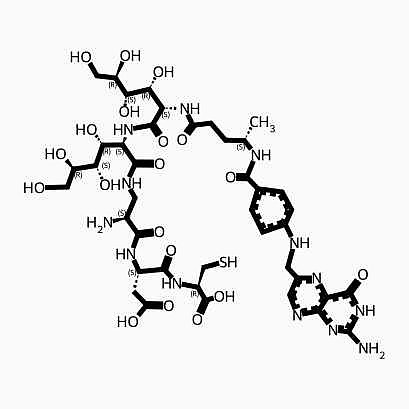 C[C@@H](CCC(=O)N[C@H](C(=O)N[C@H](C(=O)NC[C@H](N)C(=O)N[C@@H](CC(=O)O)C(=O)N[C@@H](CS)C(=O)O)[C@@H](O)[C@H](O)[C@H](O)CO)[C@@H](O)[C@H](O)[C@H](O)CO)NC(=O)c1ccc(NCc2cnc3nc(N)[nH]c(=O)c3n2)cc1